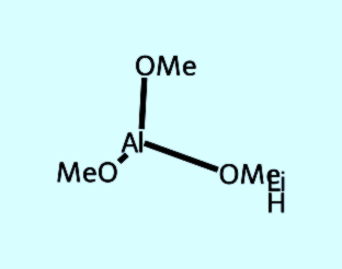 C[O][Al]([O]C)[O]C.[LiH]